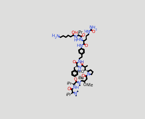 CC[C@H](C)C(C(CC(=O)N1CCC[C@H]1C(OC)C(C)C(=O)N[C@@H](Cc1ccccc1)C(=O)NCCc1ccc(NC(=O)C(CCCNC(N)=O)NC(=O)[C@H](NC(O)CCCCCN)C(C)C)cc1)OC)N(C)C(=O)[C@@H](NC(=O)C(C(C)C)N(C)C)C(C)C